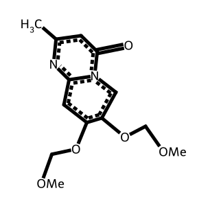 COCOc1cc2nc(C)cc(=O)n2cc1OCOC